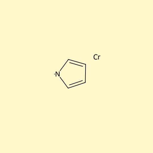 C1=C[N]C=C1.[Cr]